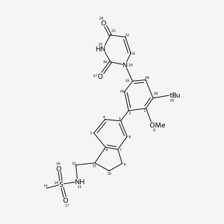 COc1c(-c2ccc3c(c2)CCC3CNS(C)(=O)=O)cc(-n2ccc(=O)[nH]c2=O)cc1C(C)(C)C